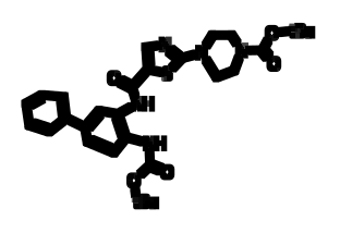 CC(C)(C)OC(=O)Nc1ccc(-c2ccccc2)cc1NC(=O)c1cnc(N2CCN(C(=O)OC(C)(C)C)CC2)s1